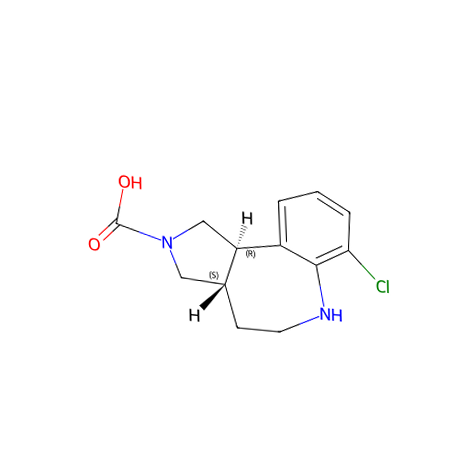 O=C(O)N1C[C@H]2CCNc3c(Cl)cccc3[C@@H]2C1